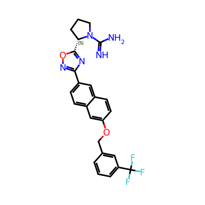 N=C(N)N1CCC[C@H]1c1nc(-c2ccc3cc(OCc4cccc(C(F)(F)F)c4)ccc3c2)no1